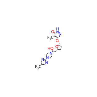 O=c1[nH]ncc(OC[C@@H]2CC[C@H](CC(O)N3CCN(c4ncc(C(F)(F)F)cn4)CC3)O2)c1C(F)(F)F